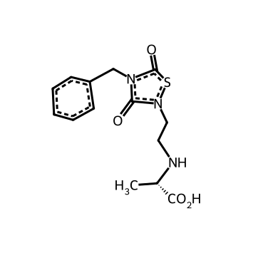 C[C@H](NCCn1sc(=O)n(Cc2ccccc2)c1=O)C(=O)O